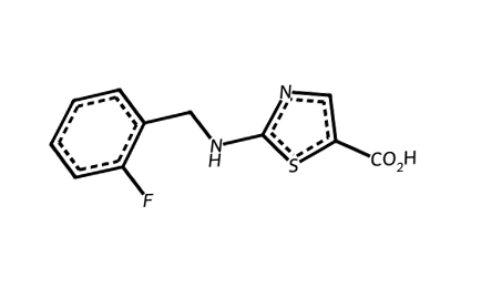 O=C(O)c1cnc(NCc2ccccc2F)s1